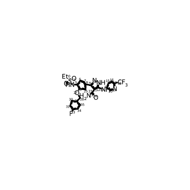 CCS(=O)(=O)Nc1ccc(-c2n[nH]c(Nc3ccc(C(F)(F)F)nc3)c2C(N)=O)cc1OCc1ccc(F)cc1